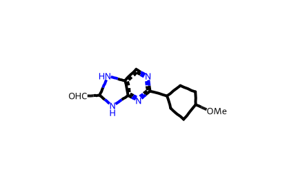 COC1CCC(c2ncc3c(n2)NC(C=O)N3)CC1